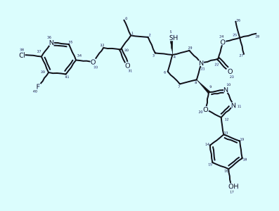 CC(CC[C@@]1(S)CC[C@H](c2nnc(-c3ccc(O)cc3)o2)N(C(=O)OC(C)(C)C)C1)C(=O)COc1cnc(Cl)c(F)c1